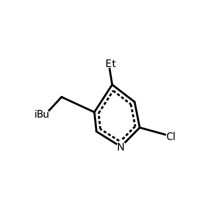 CCc1cc(Cl)ncc1CC(C)CC